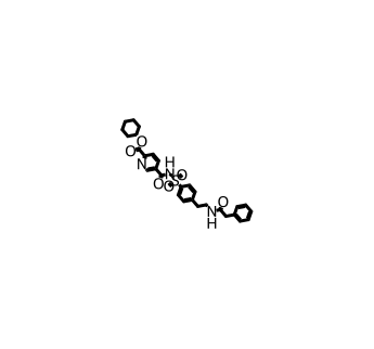 O=C(Cc1ccccc1)NCCc1ccc(S(=O)(=O)NC(=O)c2ccc(C(=O)OC3CCCCC3)nc2)cc1